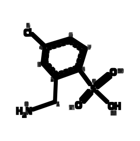 NCc1cc(Cl)ccc1S(=O)(=O)O